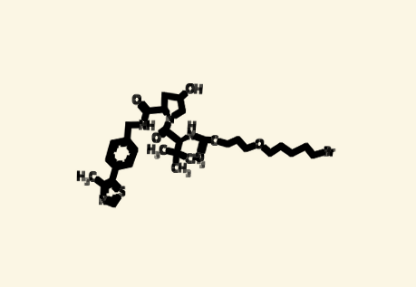 Cc1ncsc1-c1ccc(CNC(=O)C2CC(O)CN2C(=O)[C@@H](NC(=O)CCCCOCCCCCBr)C(C)(C)C)cc1